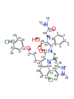 Cc1ccc2c(c1)c(N1C[C@@H](C)n3c(c(CCCOc4cc(C)c(Cl)c(C)c4)c4ccc(Cl)c(-c5c(C)nn(C)c5C)c43)C1=O)c(C(=O)O)n2CC(=O)N(C)C